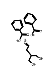 C=CCC(CO)CO.O=C(O)c1ccccc1.O=C(O)c1ccccc1